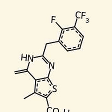 C=C1NC(Cc2cccc(C(F)(F)F)c2F)=Nc2sc(C(=O)O)c(C)c21